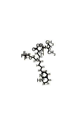 CC1CC(C)N1C(=O)NC(CCN(CCCCc1ccc2c(n1)NCCC2)CCOCC(F)(F)F)C(=O)O